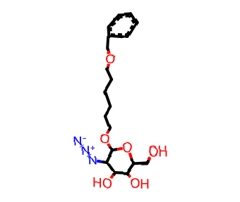 [N-]=[N+]=NC1C(OCCCCCCOCc2ccccc2)OC(CO)C(O)C1O